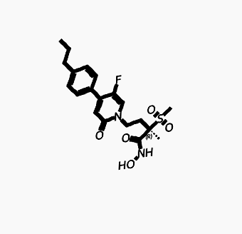 CCCc1ccc(-c2cc(=O)n(CC[C@](C)(C(=O)NO)S(C)(=O)=O)cc2F)cc1